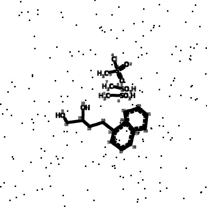 CS(=O)(=O)Cl.CS(=O)(=O)O.CS(=O)(=O)O.OCC(O)CCc1cccc2ccccc12